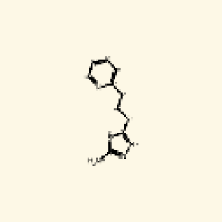 Nc1nnc(SCCc2ccccn2)s1